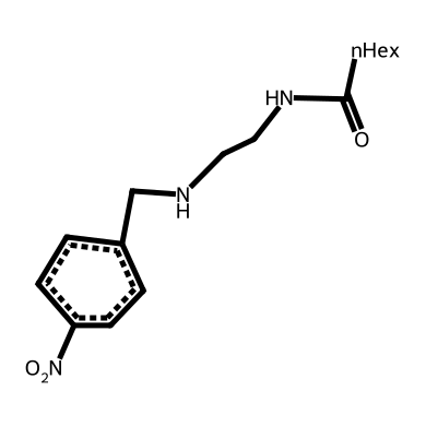 CCCCCCC(=O)NCCNCc1ccc([N+](=O)[O-])cc1